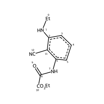 CCNc1cccc(NC(=O)C(=O)OCC)c1C#N